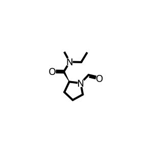 CCN(C)C(=O)[C@@H]1CCCN1C=O